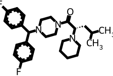 CC(C)C[C@@H](C(=O)N1CCN(C(c2ccc(F)cc2)c2ccc(F)cc2)CC1)N1CCCCC1